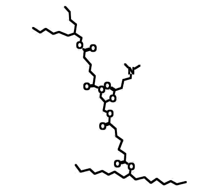 CCCCCCCCC(CCCCCCCC)OC(=O)CCCCCC(=O)OCC(COC(=O)CCCCC(=O)OCC(CCCC)CCCCCC)OC(=O)CCCN(C)C